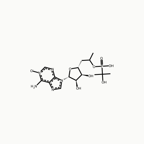 CC(C[C@H]1O[C@@H](n2cnc3c(N)[n+]([O-])cnc32)[C@H](O)[C@@H]1O)OP(=O)(O)C(C)(C)O